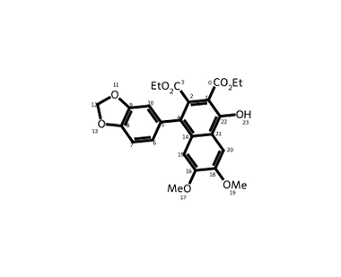 CCOC(=O)c1c(C(=O)OCC)c(-c2ccc3c(c2)OCO3)c2cc(OC)c(OC)cc2c1O